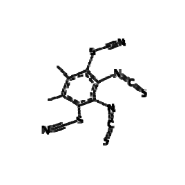 Cc1c(C)c(SC#N)c(N=C=S)c(N=C=S)c1SC#N